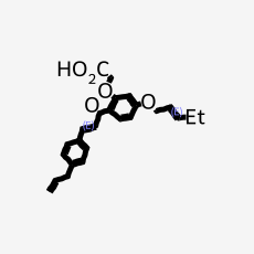 C=CCc1ccc(/C=C/C(=O)c2ccc(OC/C=C/CC)cc2OCC(=O)O)cc1